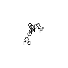 Cc1nc(N2CC=C(c3ccc(F)c(Cl)c3)CC2)nc(=O)n1Cc1ccc(CC(F)(F)F)s1